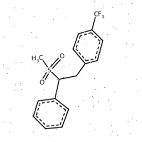 CS(=O)(=O)[C](Cc1ccc(C(F)(F)F)cc1)c1ccccc1